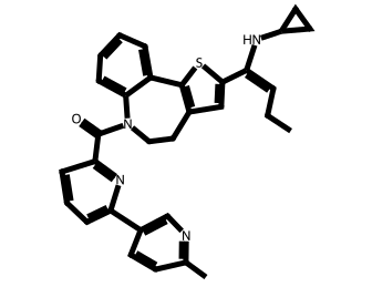 CC/C=C(/NC1CC1)c1cc2c(s1)-c1ccccc1N(C(=O)c1cccc(-c3ccc(C)nc3)n1)CC2